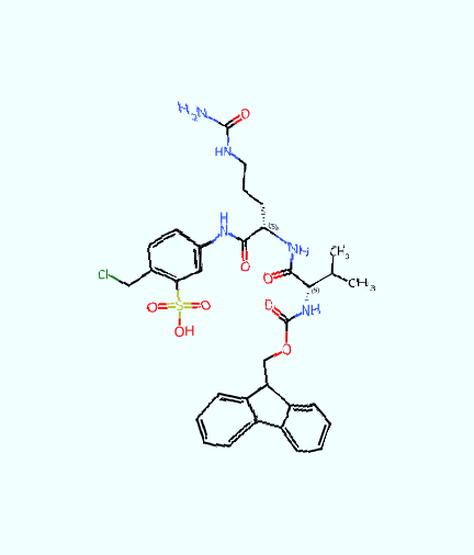 CC(C)[C@H](NC(=O)OCC1c2ccccc2-c2ccccc21)C(=O)N[C@@H](CCCNC(N)=O)C(=O)Nc1ccc(CCl)c(S(=O)(=O)O)c1